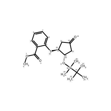 COC(=O)c1ccccc1S[C@H]1CC(=O)C[C@@H]1O[Si](C)(C)C(C)(C)C